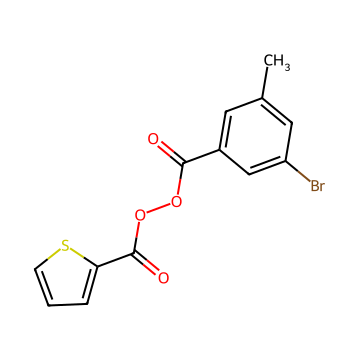 Cc1cc(Br)cc(C(=O)OOC(=O)c2cccs2)c1